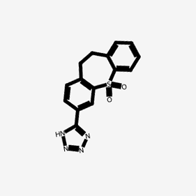 O=S1(=O)c2ccccc2CCc2ccc(-c3nnn[nH]3)cc21